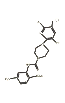 CCOC(=O)c1cc(C#N)c(N2CCN(C(=O)Nc3cc(C)ccc3OC)CC2)nc1C(F)(F)F